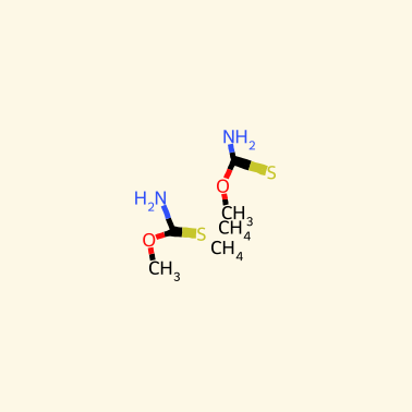 C.C.COC(N)=S.COC(N)=S